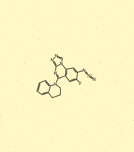 [N-]=[N+]=Nc1cc2c(cc1F)c(N1CCCc3ccccc31)nc1nncn12